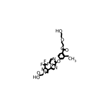 CCc1cc(Oc2nccn3c(-c4cn(CC(=O)O)nc4C(F)(F)F)cnc23)ccc1C(=O)OCCOCCO